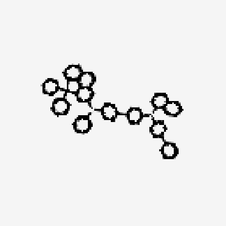 c1ccc(-c2ccc(N(c3ccc(-c4ccc(N(c5ccccc5)c5cc6c7c(ccc8cccc(c87)C6(c6ccccc6)c6ccccc6)c5)cc4)cc3)c3cccc4ccccc34)cc2)cc1